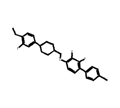 CCc1ccc(C2CCC(COc3ccc(-c4ccc(C)cc4)c(F)c3F)CC2)cc1F